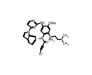 CCC#CC(=O)Nc1cc(Nc2nccc(-n3ccc4ccccc43)n2)c(OC)cc1N(C)CCN(C)C